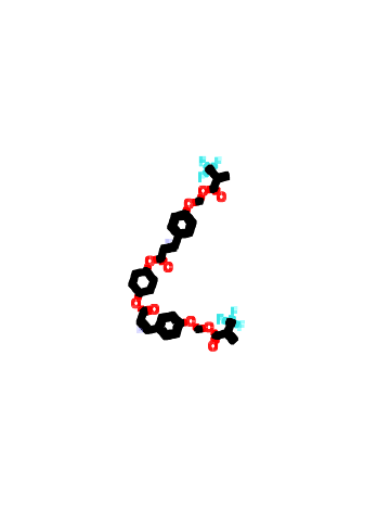 C=C(C(=O)OCOc1ccc(/C=C\C(=O)OC2CCC(OC(=O)/C=C/c3ccc(OCOC(=O)C(=C)C(F)(F)F)cc3)CC2)cc1)C(F)(F)F